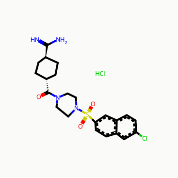 Cl.N=C(N)[C@H]1CC[C@H](C(=O)N2CCN(S(=O)(=O)c3ccc4cc(Cl)ccc4c3)CC2)CC1